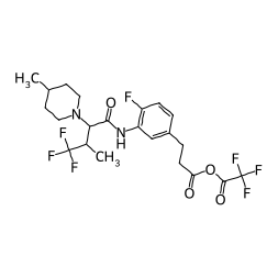 CC1CCN(C(C(=O)Nc2cc(CCC(=O)OC(=O)C(F)(F)F)ccc2F)C(C)C(F)(F)F)CC1